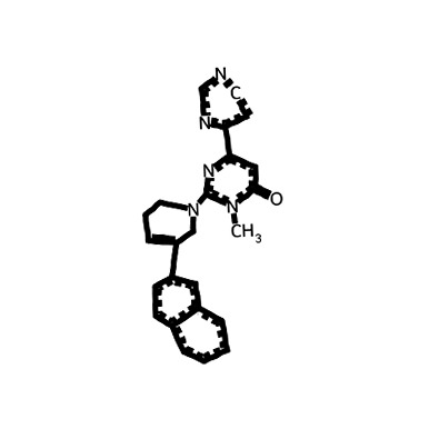 Cn1c(N2CCC=C(c3ccc4ccccc4c3)C2)nc(-c2ccncn2)cc1=O